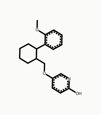 COc1ccccc1C1CCCCC1COc1ccc(O)nc1